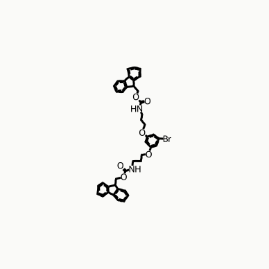 O=C(NCCCOc1cc(Br)cc(OCCCNC(=O)OCC2c3ccccc3-c3ccccc32)c1)OCC1c2ccccc2-c2ccccc21